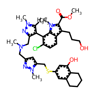 COC(=O)c1c(CCCO)c2ccc(Cl)c(-c3c(CN(C)Cc4cc(CSc5cc(O)c6c(c5)CCCC6)n(C)n4)nn(C)c3C)c2n1C